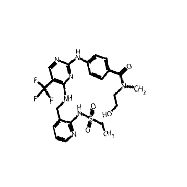 CCS(=O)(=O)Nc1ncccc1CNc1nc(Nc2ccc(C(=O)N(C)CCO)cc2)ncc1C(F)(F)F